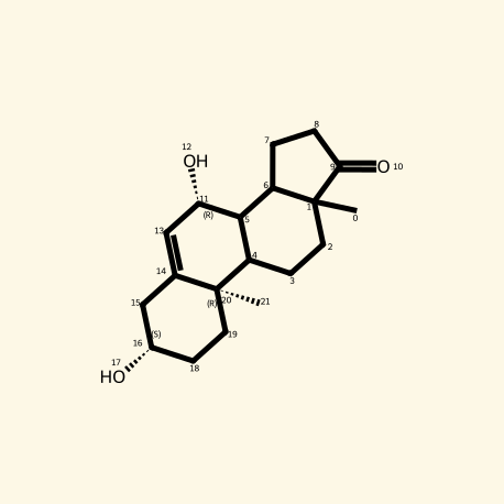 CC12CCC3C(C1CCC2=O)[C@@H](O)C=C1C[C@@H](O)CC[C@@]13C